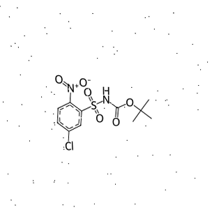 CC(C)(C)OC(=O)NS(=O)(=O)c1cc(Cl)[c]cc1[N+](=O)[O-]